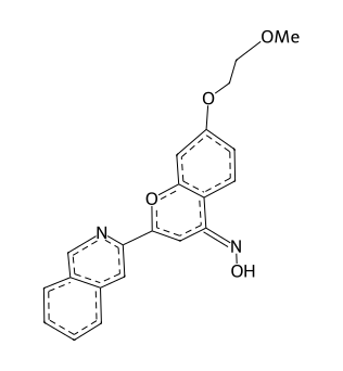 COCCOc1ccc2c(=NO)cc(-c3cc4ccccc4cn3)oc2c1